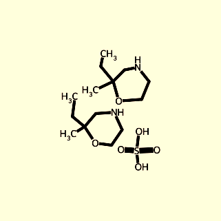 CCC1(C)CNCCO1.CCC1(C)CNCCO1.O=S(=O)(O)O